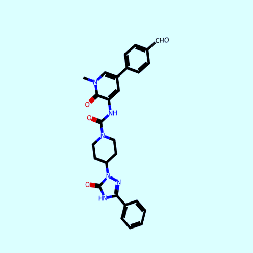 Cn1cc(-c2ccc(C=O)cc2)cc(NC(=O)N2CCC(n3nc(-c4ccccc4)[nH]c3=O)CC2)c1=O